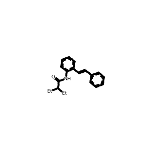 CCC(CC)C(=O)Nc1ccccc1C=Cc1ccccc1